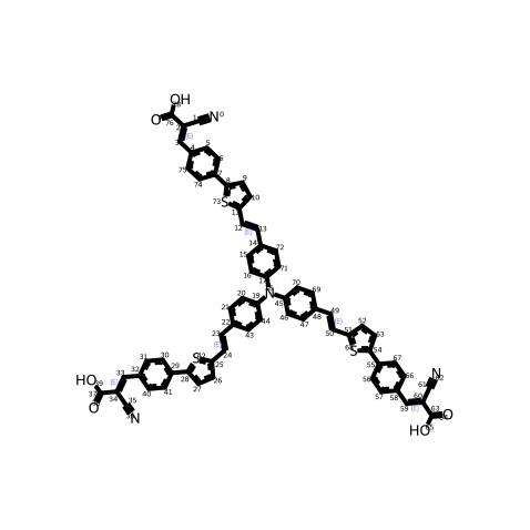 N#C/C(=C\c1ccc(-c2ccc(/C=C/c3ccc(N(c4ccc(/C=C/c5ccc(-c6ccc(/C=C(\C#N)C(=O)O)cc6)s5)cc4)c4ccc(/C=C/c5ccc(-c6ccc(/C=C(\C#N)C(=O)O)cc6)s5)cc4)cc3)s2)cc1)C(=O)O